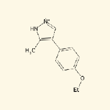 CCOc1ccc(C2=C(C)N[N+]=C2)cc1